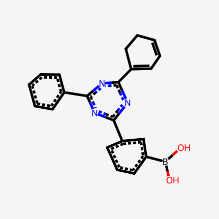 OB(O)c1cccc(-c2nc(C3=CC=CCC3)nc(-c3ccccc3)n2)c1